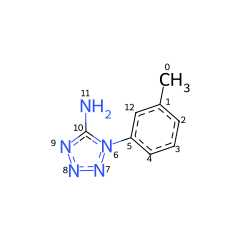 Cc1cccc(-n2nnnc2N)c1